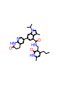 CCCc1cc(C)[nH]c(=O)c1CNC(=O)c1cc(-c2cnc3c(c2)CCC(=O)N3)cc2c1c(C)cn2C(C)C